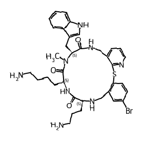 CN1C(=O)[C@H](CCCCN)NC(=O)[C@H](CCCN)NCc2cc(Br)ccc2Sc2ncccc2CNC(=O)[C@@H]1Cc1c[nH]c2ccccc12